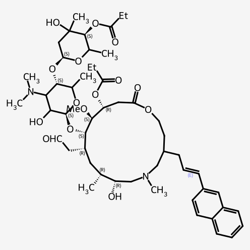 CCC(=O)O[C@@H]1CC(=O)OCCC(C/C=C/c2ccc3ccccc3c2)CN(C)C[C@H](O)[C@H](C)C[C@H](CC=O)[C@H](O[C@@H]2OC(C)[C@@H](O[C@H]3CC(C)(O)[C@@H](OC(=O)CC)C(C)O3)C(N(C)C)C2O)[C@H]1OC